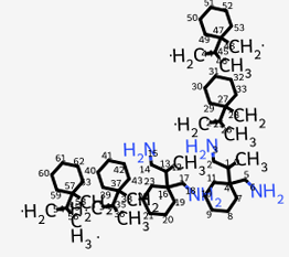 CC(CN)C1(CN)CCCCC1.CC(CN)C1(CN)CCCCC1.[CH2]C(C)C1([CH2])CCCCC1.[CH2]C(C)C1([CH2])CCCCC1.[CH2]C(C)C1([CH2])CCCCC1.[CH2]C(C)C1([CH2])CCCCC1